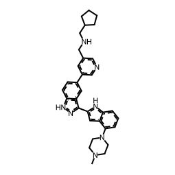 CN1CCN(c2cccc3[nH]c(-c4n[nH]c5ccc(-c6cncc(CNCC7CCCC7)c6)cc45)cc23)CC1